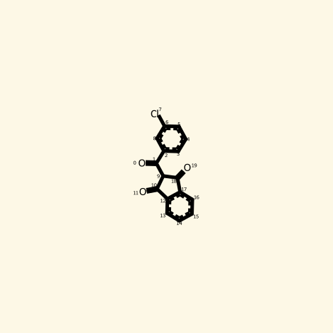 O=C(c1cccc(Cl)c1)C1C(=O)c2ccccc2C1=O